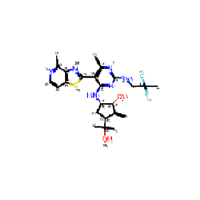 C=C1[C@@H](O)[C@H](Nc2nc(NCC(C)(F)F)nc(C)c2-c2nc3c(C)nccc3s2)C[C@@H]1C(C)(C)O